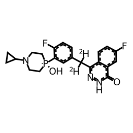 [2H]C([2H])(c1ccc(F)c([P]2(O)CCN(C3CC3)CC2)c1)c1n[nH]c(=O)c2cc(F)ccc12